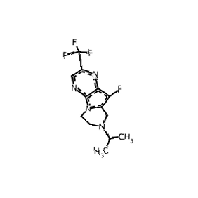 CC(C)N1CCn2c(c(F)c3nc(C(F)(F)F)cnc32)C1